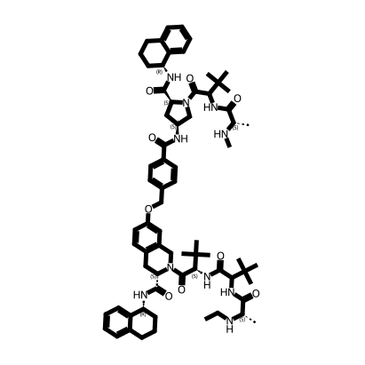 CCN[C@@H](C)C(=O)NC(C(=O)N[C@H](C(=O)N1Cc2cc(OCc3ccc(C(=O)N[C@H]4C[C@@H](C(=O)N[C@@H]5CCCc6ccccc65)N(C(=O)C(NC(=O)[C@H](C)NC)C(C)(C)C)C4)cc3)ccc2C[C@H]1C(=O)N[C@@H]1CCCc2ccccc21)C(C)(C)C)C(C)(C)C